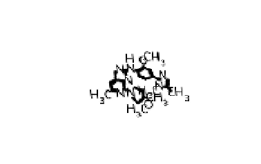 COc1cc(-c2ncc(C)n2C)ccc1Nc1ncc2cc(C)nc(N3CCC(C)(OC)CC3)c2n1